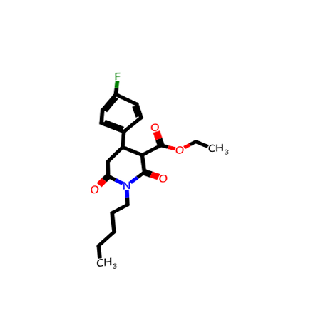 CCCCCN1C(=O)CC(c2ccc(F)cc2)C(C(=O)OCC)C1=O